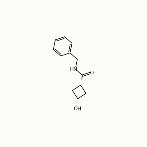 O=C(NCc1ccccc1)[C@H]1C[C@@H](O)C1